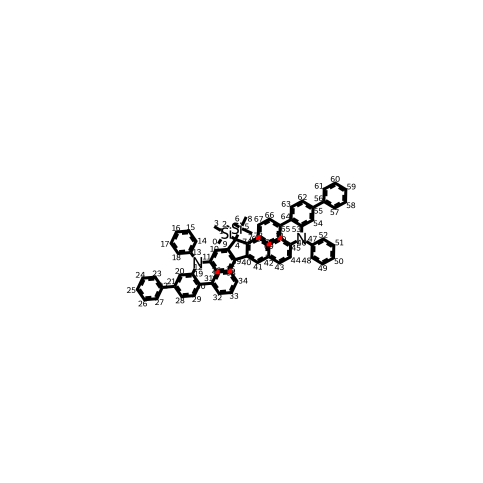 C[Si](C)(C)C1([Si](C)(C)C)c2cc(N(c3ccccc3)c3cc(-c4ccccc4)ccc3-c3ccccc3)ccc2-c2cc3ccc(N(c4ccccc4)c4cc(-c5ccccc5)ccc4-c4ccccc4)cc3cc21